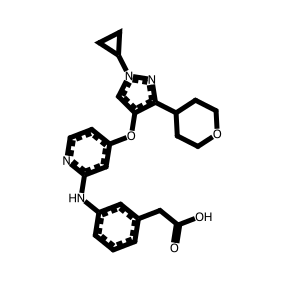 O=C(O)Cc1cccc(Nc2cc(Oc3cn(C4CC4)nc3C3CCOCC3)ccn2)c1